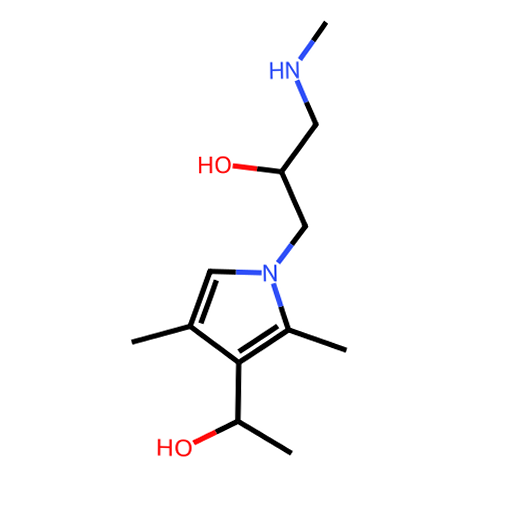 CNCC(O)Cn1cc(C)c(C(C)O)c1C